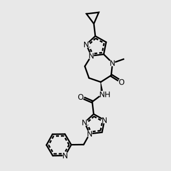 CN1C(=O)[C@@H](NC(=O)c2ncn(Cc3ccccn3)n2)CCn2nc(C3CC3)cc21